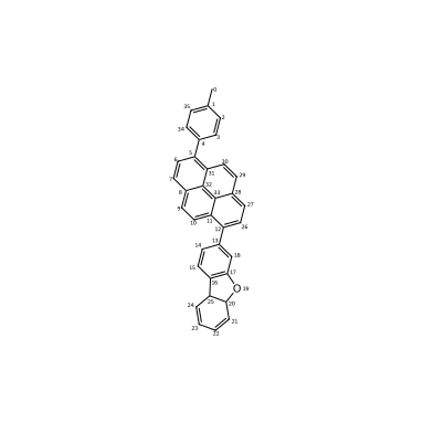 Cc1ccc(-c2ccc3ccc4c(-c5ccc6c(c5)OC5C=CC=CC65)ccc5ccc2c3c54)cc1